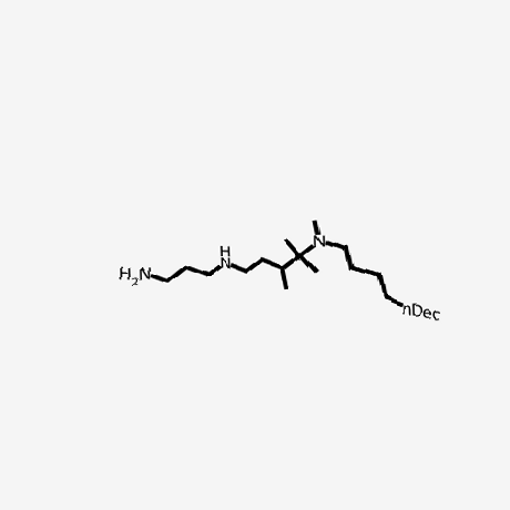 CCCCCCCCCCCCCCN(C)C(C)(C)C(C)CCNCCCN